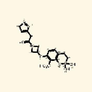 O=C(O)c1c(OC2CN(C(=O)CC3=CCN=N3)C2)ccc2c1O[B-](O)(O)CC2